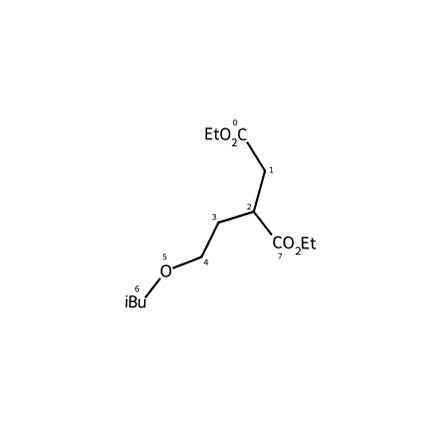 CCOC(=O)CC(CCOC(C)CC)C(=O)OCC